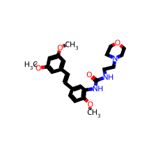 COc1cc(C=Cc2ccc(OC)c(NC(=O)NCCN3CCOCC3)c2)cc(OC)c1